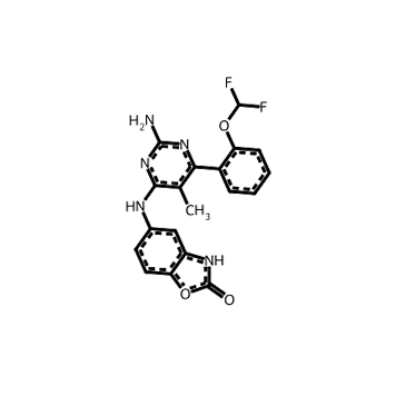 Cc1c(Nc2ccc3oc(=O)[nH]c3c2)nc(N)nc1-c1ccccc1OC(F)F